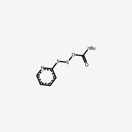 CCCCC(=O)OSSc1ccccn1